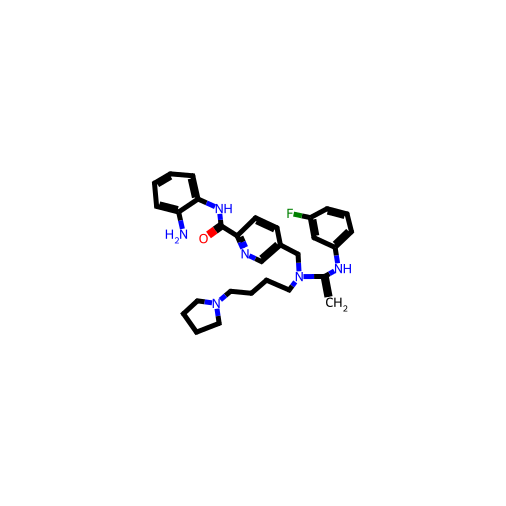 C=C(Nc1cccc(F)c1)N(CCCCN1CCCC1)Cc1ccc(C(=O)Nc2ccccc2N)nc1